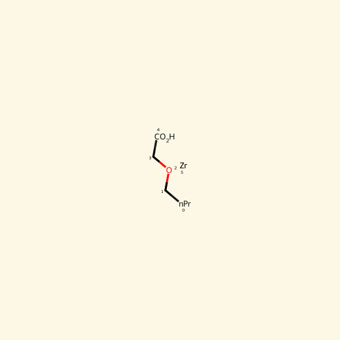 CCCCOCC(=O)O.[Zr]